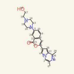 Cc1cn2cc(-c3cc4ccc(N5CCN(CCO)CC5)cc4c(=O)o3)cc2c(C)n1